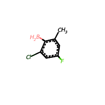 Bc1c(C)cc(F)cc1Cl